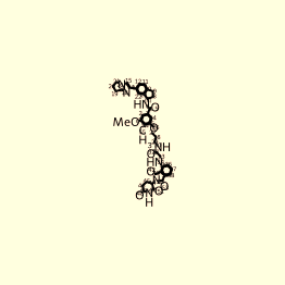 COc1cc(C(=O)N[C@@H]2CCc3ccc(-c4cn5c(n4)CCC5)cc32)cc(OCCCNC(=O)CNc2cccc3c2C(=O)N(C2CCC(=O)NC2=O)C3=O)c1C